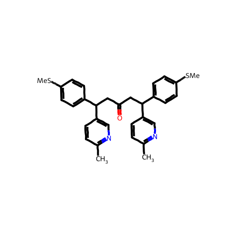 CSc1ccc(C(CC(=O)CC(c2ccc(SC)cc2)c2ccc(C)nc2)c2ccc(C)nc2)cc1